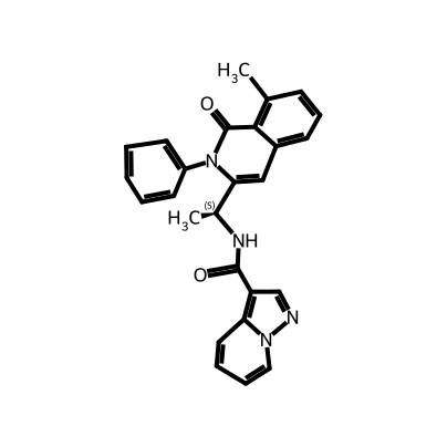 Cc1cccc2cc([C@H](C)NC(=O)c3cnn4ccccc34)n(-c3ccccc3)c(=O)c12